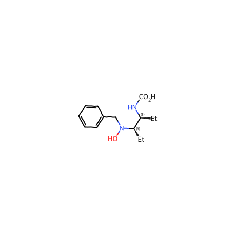 CC[C@H](NC(=O)O)[C@@H](CC)N(O)Cc1ccccc1